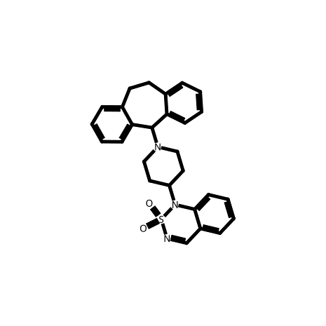 O=S1(=O)N=Cc2ccccc2N1C1CCN(C2c3ccccc3CCc3ccccc32)CC1